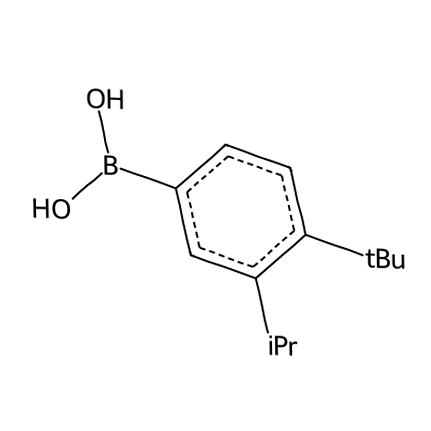 CC(C)c1cc(B(O)O)ccc1C(C)(C)C